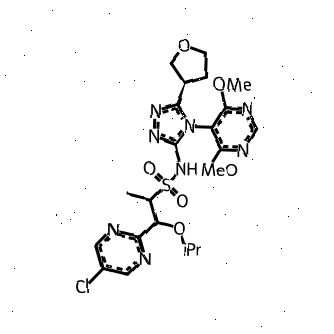 COc1ncnc(OC)c1-n1c(NS(=O)(=O)C(C)C(OC(C)C)c2ncc(Cl)cn2)nnc1[C@@H]1CCOC1